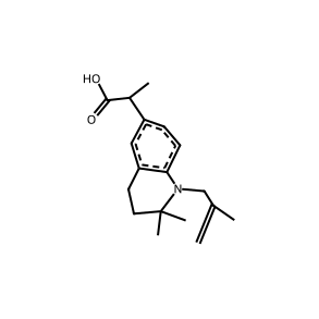 C=C(C)CN1c2ccc(C(C)C(=O)O)cc2CCC1(C)C